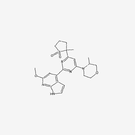 COc1cc(-c2nc(N3CCOCC3C)cc(C3(C)CCCS3(=O)=O)n2)c2cc[nH]c2n1